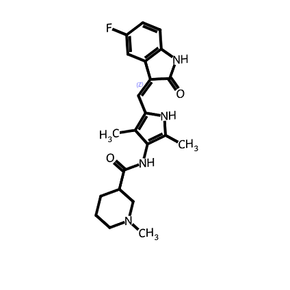 Cc1[nH]c(/C=C2\C(=O)Nc3ccc(F)cc32)c(C)c1NC(=O)C1CCCN(C)C1